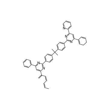 C=C(/C=C\C=C/C)c1cc(-c2ccccc2)nc(-c2ccc(C(C)(C)c3ccc(-c4nc(C5=CCCC=C5)cc(-c5ccccn5)n4)cc3)cc2)n1